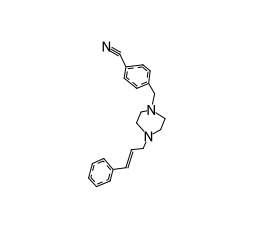 N#Cc1ccc(CN2CCN(C/C=C/c3ccccc3)CC2)cc1